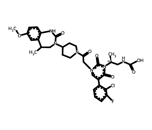 COc1ccc2c(c1)C(C)CN(C1CCN(C(=O)Cn3cc(-c4cccc(F)c4Cl)c(=O)n([C@@H](C)CNC(=O)O)c3=O)CC1)C(=O)N2